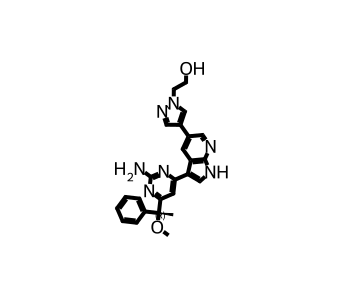 CO[C@](C)(c1ccccc1)c1cc(-c2c[nH]c3ncc(-c4cnn(CCO)c4)cc23)nc(N)n1